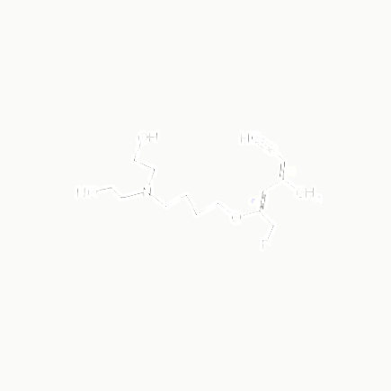 C#C/C=C(C)\C=C(/CF)OCCCCN(CCO)CCO